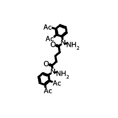 CC(=O)c1cccc(N(N)C(=O)CCCC(=O)N(N)c2cccc(C(C)=O)c2C(C)=O)c1C(C)=O